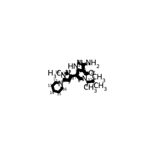 CC(C)[C@H](C)n1cc(-c2cc(N3CCCCC3)n(C)n2)c2[nH]nc(N)c2c1=O